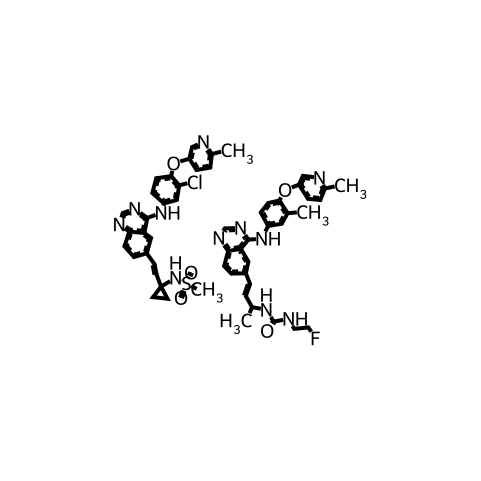 Cc1ccc(Oc2ccc(Nc3ncnc4ccc(/C=C/C(C)NC(=O)NCCF)cc34)cc2C)cn1.Cc1ccc(Oc2ccc(Nc3ncnc4ccc(/C=C/C5(NS(C)(=O)=O)CC5)cc34)cc2Cl)cn1